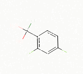 BC(O)(Cl)c1ccc(F)cc1F